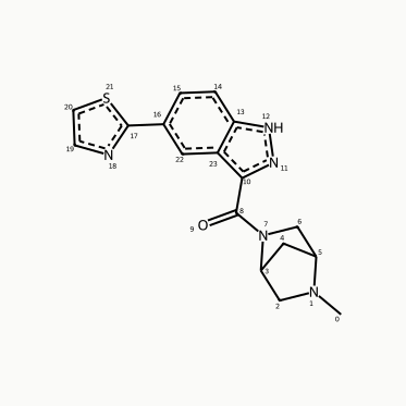 CN1CC2CC1CN2C(=O)c1n[nH]c2ccc(-c3nccs3)cc12